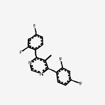 Cc1c(-c2ccc(F)cc2F)ncnc1-c1ccc(F)cc1F